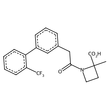 CC1(C(=O)O)CCN1C(=O)Cc1cccc(-c2ccccc2C(F)(F)F)c1